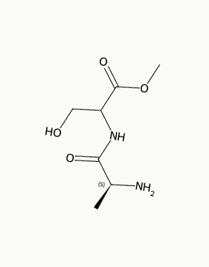 COC(=O)C(CO)NC(=O)[C@H](C)N